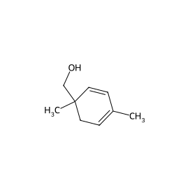 CC1=CCC(C)(CO)C=C1